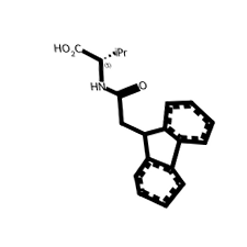 CC(C)[C@H](NC(=O)CC1c2ccccc2-c2ccccc21)C(=O)O